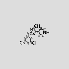 Cc1nc(Cc2cc(Cl)cc(Cl)c2)sc1C1CCNCC1